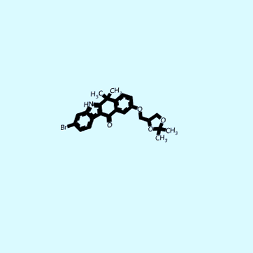 CC1(C)OCC(COc2ccc3c(c2)C(=O)c2c([nH]c4cc(Br)ccc24)C3(C)C)O1